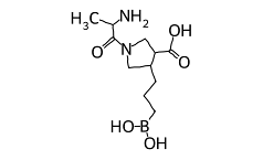 CC(N)C(=O)N1CC(CCCB(O)O)C(C(=O)O)C1